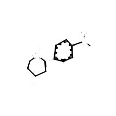 C[C@@H]1CCN[C@H](c2ccc([S+](C)[O-])cc2)C1